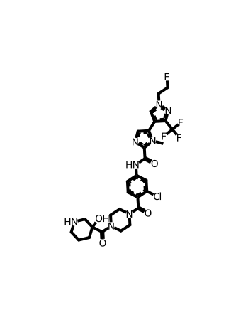 Cn1c(-c2cn(CCF)nc2C(F)(F)F)cnc1C(=O)Nc1ccc(C(=O)N2CCN(C(=O)C3(O)CCCNC3)CC2)c(Cl)c1